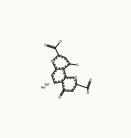 O=C([O-])c1cc(Cl)c2c(ccc3c(=O)cc(C(=O)[O-])oc32)n1.[Na+].[Na+]